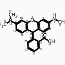 CNc1ccc2c(c1)Oc1cc(N(C)C)ccc1C2c1ccccc1C(=O)O